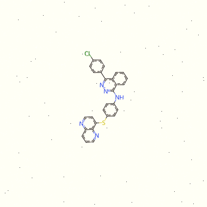 Clc1ccc(-c2nnc(Nc3ccc(Sc4ccnc5cccnc45)cc3)c3ccccc23)cc1